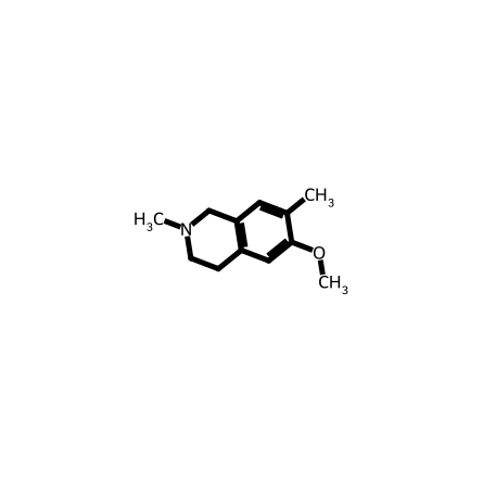 COc1cc2c(cc1C)CN(C)CC2